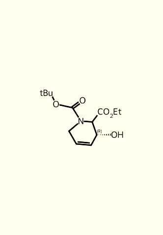 CCOC(=O)C1[C@H](O)C=CCN1C(=O)OC(C)(C)C